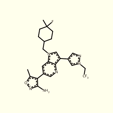 Cc1onc(N)c1-c1cnc2c(-c3cnn(CC(F)(F)F)c3)cn(CC3CCC(C)(F)CC3)c2c1